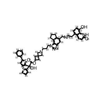 O=C(OC1CC2(C1)CN(CCCn1nnc3cc(CNCCc4ccc(O)c5[nH]c(=O)ccc45)c4c(c31)CCC4)C2)[C@@](O)(c1cccs1)c1ccc(-c2ccccc2)s1